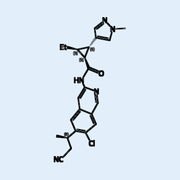 CC[C@@H]1[C@H](C(=O)Nc2cc3cc([C@H](C)CC#N)c(Cl)cc3cn2)[C@H]1c1cnn(C)c1